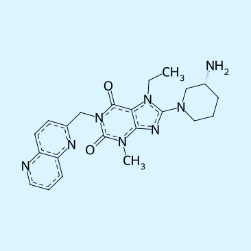 CCn1c(N2CCC[C@@H](N)C2)nc2c1c(=O)n(Cc1ccc3ncccc3n1)c(=O)n2C